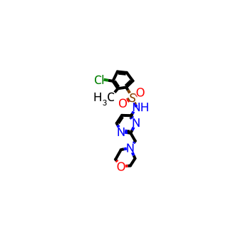 Cc1c(Cl)cccc1S(=O)(=O)Nc1ccnc(CN2CCOCC2)n1